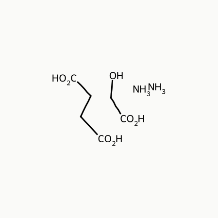 N.N.O=C(O)CCC(=O)O.O=C(O)CO